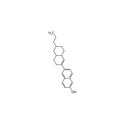 CCCC1CCC2C=C(c3ccc4cc(O)ccc4c3)CCC2C1